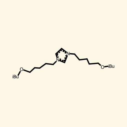 CCC(C)OCCCCCn1cc[n+](CCCCCOC(C)CC)c1